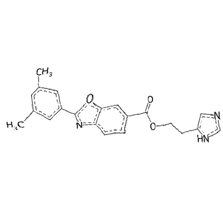 Cc1cc(C)cc(-c2nc3ccc(C(=O)OCCc4cnc[nH]4)cc3o2)c1